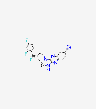 N#Cc1ccc2nc(NC3CC3)c(N3CCC([C@@H](F)c4ccc(F)cc4F)CC3)nc2c1